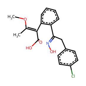 COC(C)=C(C(=O)O)c1ccccc1C(Cc1ccc(Cl)cc1)=NO